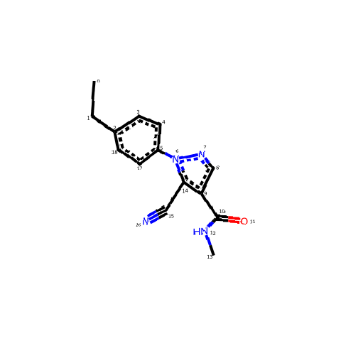 CCc1ccc(-n2ncc(C(=O)NC)c2C#N)cc1